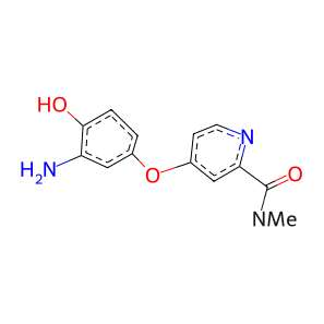 CNC(=O)c1cc(Oc2ccc(O)c(N)c2)ccn1